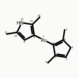 CC1=CCC(C)=[C]1[Ru][c]1cc(C)[nH]c1C